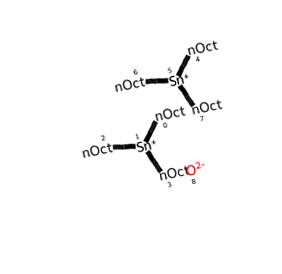 CCCCCCC[CH2][Sn+]([CH2]CCCCCCC)[CH2]CCCCCCC.CCCCCCC[CH2][Sn+]([CH2]CCCCCCC)[CH2]CCCCCCC.[O-2]